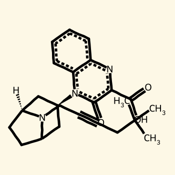 CC(C)(C)CC#CCN1C2CC[C@H]1C[C@@H](n1c(=O)c(C(=O)O)nc3ccccc31)C2